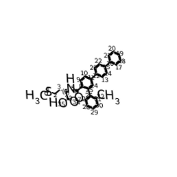 CSCC[C@H](NC(=O)c1ccc(-c2ccc(-c3ccccc3)cc2)cc1-c1ccccc1C)C(=O)O